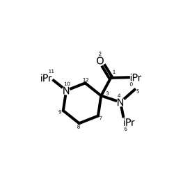 CC(C)C(=O)C1(N(C)C(C)C)CCCN(C(C)C)C1